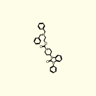 O=C(OCCN(Cc1ccccc1)Cc1ccccc1)N1CCC(n2c(=O)n(-c3ccccc3)c3ccccc32)CC1